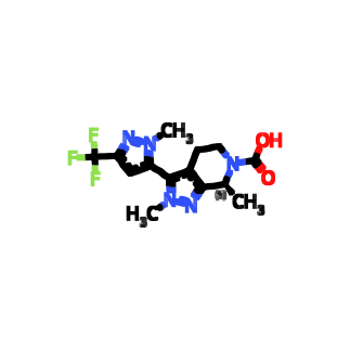 C[C@H]1c2nn(C)c(-c3cc(C(F)(F)F)nn3C)c2CCN1C(=O)O